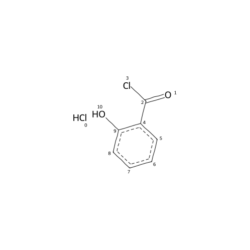 Cl.O=C(Cl)c1ccccc1O